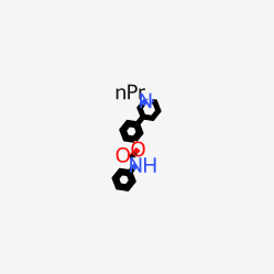 CCCN1CCCC(c2cccc(OC(=O)Nc3ccccc3)c2)C1